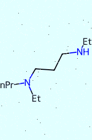 CCCN(CC)CCCNCC